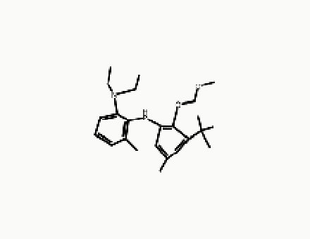 CCN(CC)c1cccc(C)c1Pc1cc(C)cc(C(C)(C)C)c1OCOC